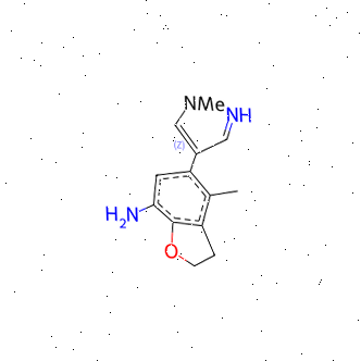 CN/C=C(\C=N)c1cc(N)c2c(c1C)CCO2